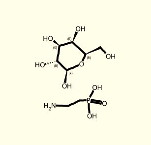 NCCP(=O)(O)O.OC[C@H]1O[C@@H](O)[C@H](O)[C@@H](O)[C@H]1O